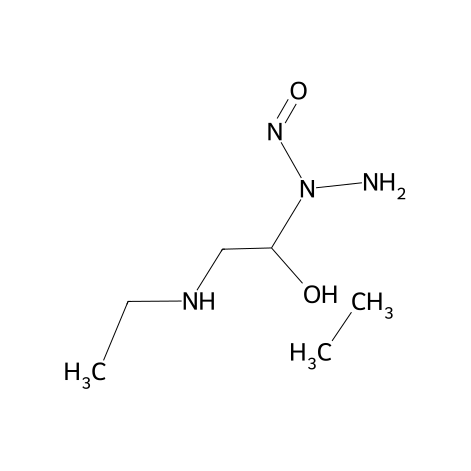 CC.CCNCC(O)N(N)N=O